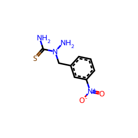 NC(=S)N(N)Cc1cccc([N+](=O)[O-])c1